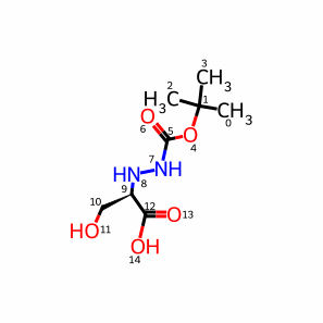 CC(C)(C)OC(=O)NN[C@H](CO)C(=O)O